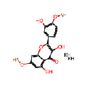 O=c1c(O)c(-c2ccc(OS)c(O)c2)oc2cc(OS)cc(O)c12.[KH].[KH]